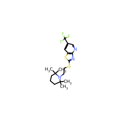 CC1(C)CCCC(C)(C)N1CCSc1nc2ncc(C(F)(F)F)cc2s1